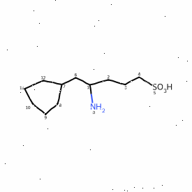 NC(CCCS(=O)(=O)O)CC1CCCCC1